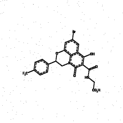 O=C(O)CNC(=O)c1c(O)c2cc(Br)cc3c2n(c1=O)CC(c1ccc(C(F)(F)F)cc1)O3